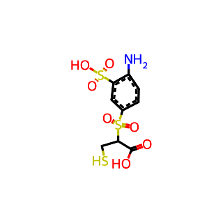 Nc1ccc(S(=O)(=O)C(CS)C(=O)O)cc1S(=O)(=O)O